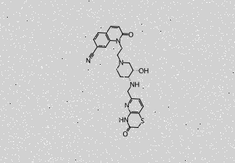 N#Cc1ccc2ccc(=O)n(CCN3CC[C@@H](NCc4ccc5c(n4)NC(=O)CS5)[C@@H](O)C3)c2c1